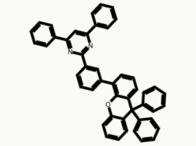 c1ccc(-c2cc(-c3ccccc3)nc(-c3cccc(-c4cccc5c4Oc4ccccc4C5(c4ccccc4)c4ccccc4)c3)n2)cc1